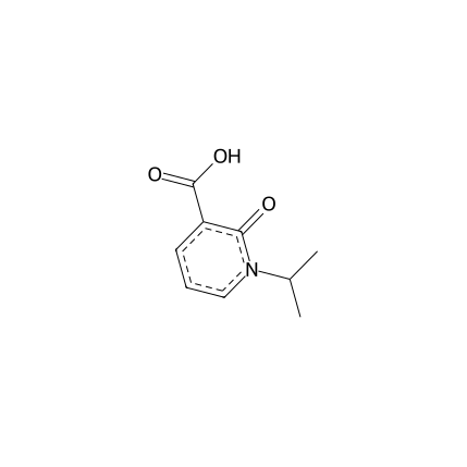 CC(C)n1cccc(C(=O)O)c1=O